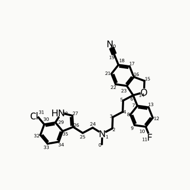 CN(CCCCC1(c2ccc(F)cc2)OCc2cc(C#N)ccc21)CCc1c[nH]c2c(Cl)cccc12